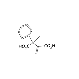 C=C(C(=O)O)C(C)(C(=O)O)c1ccccc1